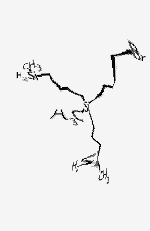 C[SiH2]CCC[Si](C)(CCCCBr)CCC[SiH2]C